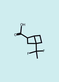 CC(F)(F)C12CCC1C(C(=O)O)C2